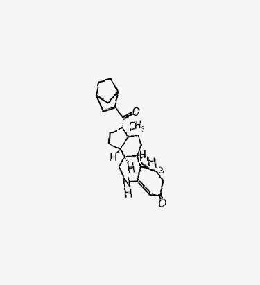 C[C@]12CC[C@H]3[C@@H](CNC4=CC(=O)CC[C@@]43C)[C@@H]1CC[C@@H]2C(=O)C1CC2CCC1C2